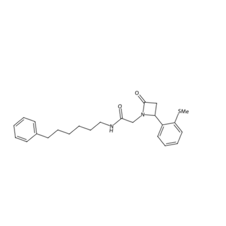 CSc1ccccc1C1CC(=O)N1CC(=O)NCCCCCCc1ccccc1